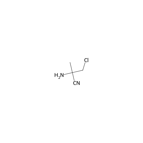 CC(N)(C#N)CCl